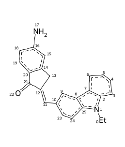 CCn1c2ccccc2c2cc(C=C3Cc4cc(N)ccc4C3=O)ccc21